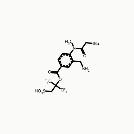 BCc1cc(C(=O)OC(CS(=O)(=O)O)(C(F)(F)F)C(F)(F)F)ccc1N(C)C(=O)CC(C)(C)C